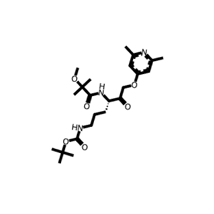 COC(C)(C)C(=O)N[C@@H](CCCNC(=O)OC(C)(C)C)C(=O)COc1cc(C)nc(C)c1